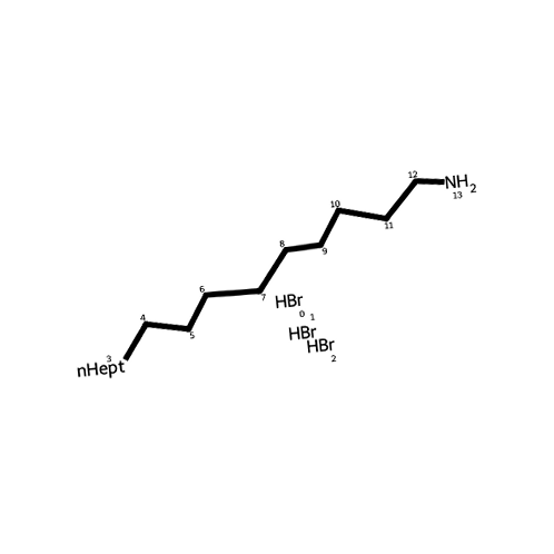 Br.Br.Br.CCCCCCCCCCCCCCCCN